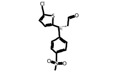 CS(=O)(=O)c1ccc([C@@H](CC=O)c2ccc(Cl)s2)cc1